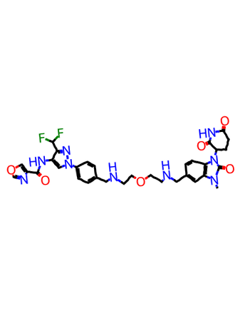 Cn1c(=O)n(C2CCC(=O)NC2=O)c2ccc(CNCCOCCNCc3ccc(-n4cc(NC(=O)c5cocn5)c(C(F)F)n4)cc3)cc21